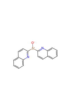 [O-][S+](c1ccc2ccccc2n1)c1ccc2ccccc2n1